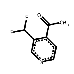 CC(=O)c1ccncc1C(F)F